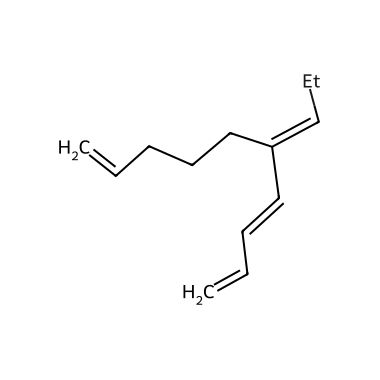 C=CC=CC(=CCC)CCCC=C